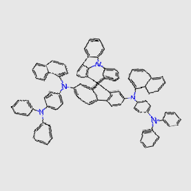 C1=CCC2C(=C1)C=CC=C2N(c1ccc(N(c2ccccc2)c2ccccc2)cc1)c1ccc2c(c1)C1(c3cc(N(c4ccc(N(c5ccccc5)c5ccccc5)cc4)c4cccc5ccccc45)ccc3-2)c2ccccc2-n2c3ccccc3c3cccc1c32